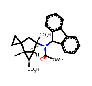 COC(=O)N(C1c2ccccc2-c2ccccc21)[C@@]1(C(=O)O)CC2(CC2)[C@H]2[C@H](C(=O)O)[C@H]21